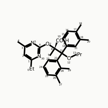 CCc1cc(C)nc(O[C@](C)(C(=O)O)C(OC(C)C)(c2ccc(C)c(C)c2)c2cccc(C)c2C)n1